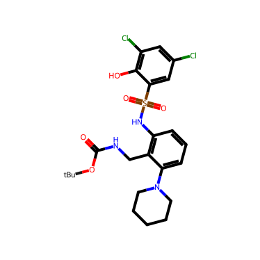 CC(C)(C)OC(=O)NCc1c(NS(=O)(=O)c2cc(Cl)cc(Cl)c2O)cccc1N1CCCCC1